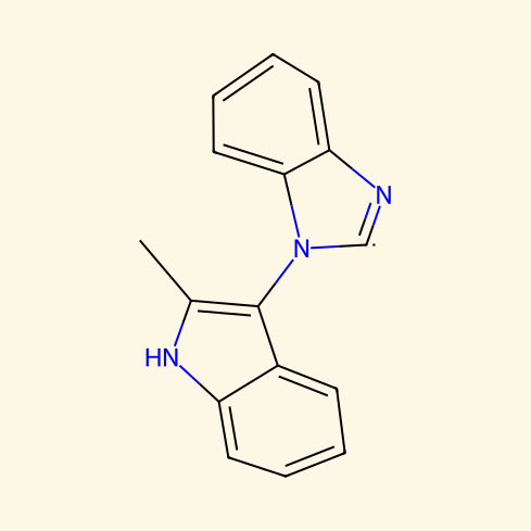 Cc1[nH]c2ccccc2c1-n1[c]nc2ccccc21